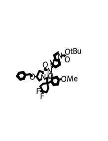 COc1ccc(C2(C(=O)N3C[C@@H](OCc4ccccc4)C[C@@H]3C(=O)Nc3ccc4c(ccn4C(=O)OC(C)(C)C)n3)CCC(F)(F)CC2)cc1